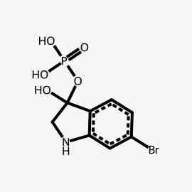 O=P(O)(O)OC1(O)CNc2cc(Br)ccc21